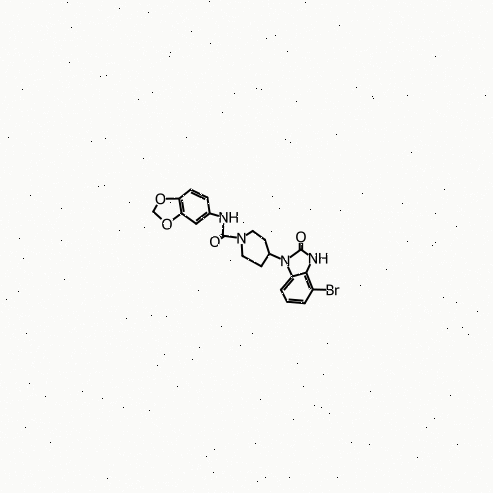 O=C(Nc1ccc2c(c1)OCO2)N1CCC(n2c(=O)[nH]c3c(Br)cccc32)CC1